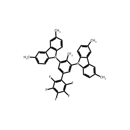 Cc1ccc2c(c1)c1cc(C)ccc1n2-c1cc(-c2c(F)c(F)c(F)c(F)c2F)cc(-n2c3ccc(C)cc3c3cc(C)ccc32)c1C(F)(F)F